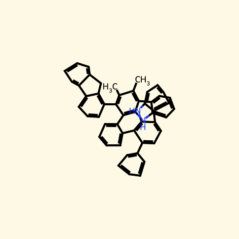 Cc1c(-c2cccc3c2Cc2ccccc2-3)c(-c2ccccc2-c2c(-c3ccccc3)ccc3c2[nH]c2ccccc23)c2[nH]c3ccccc3c2c1C